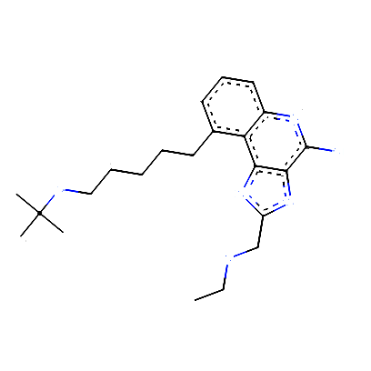 CCNCc1nc2c(N)nc3cccc(CCCCCNC(C)(C)C)c3c2[nH]1